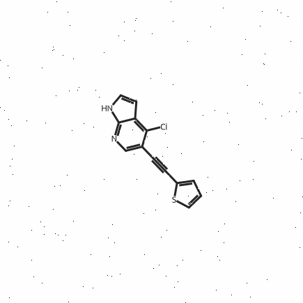 Clc1c(C#Cc2cccs2)cnc2[nH]ccc12